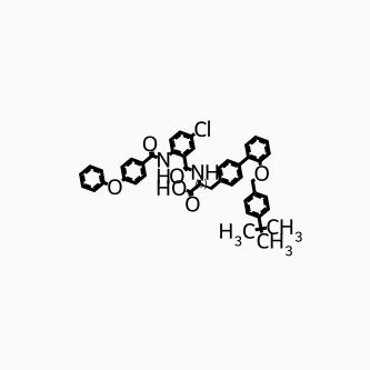 CC(C)(C)c1ccc(COc2ccccc2-c2ccc(C[C@H](NC(=O)c3cc(Cl)ccc3NC(=O)c3ccc(Oc4ccccc4)cc3)C(=O)O)cc2)cc1